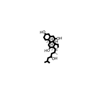 CC(C)CC(O)C[C@@H](C)[C@H]1CC[C@H]2[C@@H]3C(O)CC4CC(O)CC[C@]4(C)[C@H]3CC(O)[C@]12C